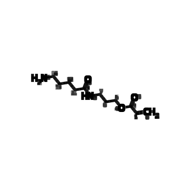 C=CC(=O)OCCCNC(=O)CCCCN